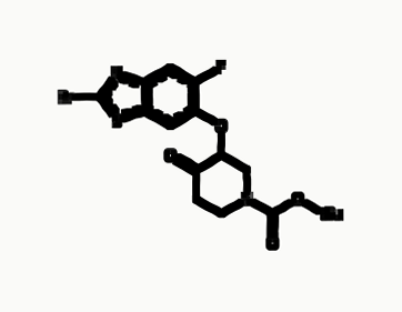 CC(C)(C)OC(=O)N1CCC(=O)C(Oc2cc3sc(Br)nc3cc2F)C1